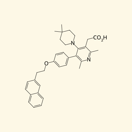 Cc1nc(C)c(-c2ccc(OCCc3ccc4ccccc4c3)cc2)c(N2CCC(C)(C)CC2)c1CC(=O)O